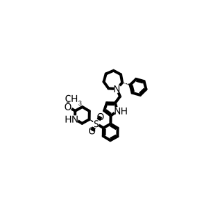 COC1CC[C@H](S(=O)(=O)c2ccccc2-c2ccc(CN3CCCCC[C@@H]3c3ccccc3)[nH]2)CN1